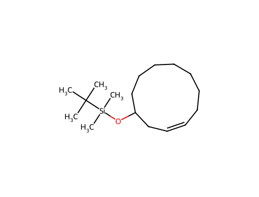 CC(C)(C)[Si](C)(C)OC1CC=CCCCCCCC1